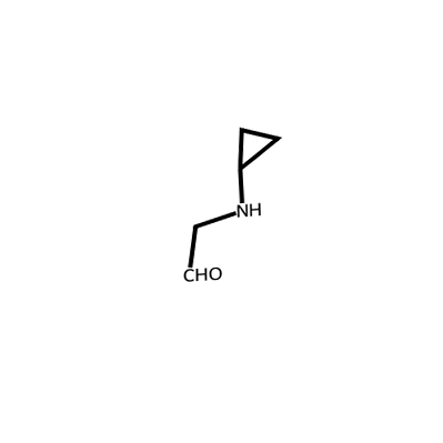 O=CCNC1CC1